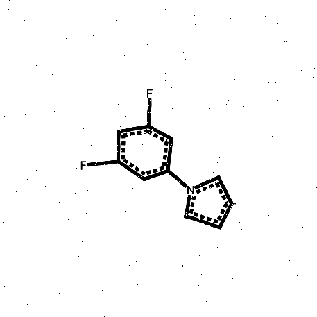 Fc1cc(F)cc(-n2c[c]cc2)c1